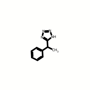 C[C](c1ccccc1)c1nnn[nH]1